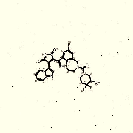 O=C1NC(=O)C(c2cnc3ccccn23)=C1c1cn2c3c(cc(F)cc13)CN(C(=O)N1CCC(F)(F)C(O)C1)CC2